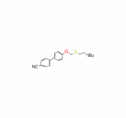 CCC(C)CCSCOc1ccc(-c2ccc(C#N)cc2)cc1